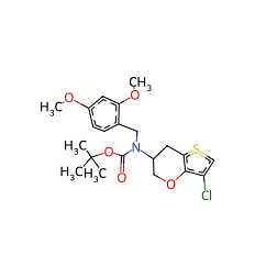 COc1ccc(CN(C(=O)OC(C)(C)C)C2COc3c(Cl)csc3C2)c(OC)c1